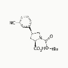 CC(C)(C)OC(=O)N1C[C@H](c2cccc(C#N)c2)C[C@@H]1C(=O)O